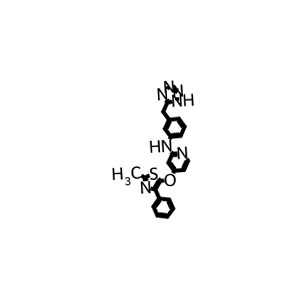 Cc1nc(-c2ccccc2)c(Oc2ccnc(Nc3cccc(Cc4nnn[nH]4)c3)c2)s1